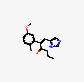 CCCC(=O)/C(=C\c1cnc[nH]1)c1cc(OC)ccc1C